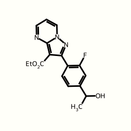 CCOC(=O)c1c(-c2ccc(C(C)O)cc2F)nn2cccnc12